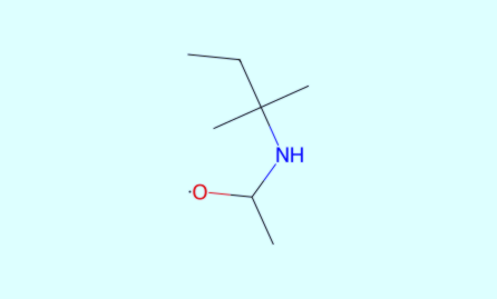 CCC(C)(C)NC(C)[O]